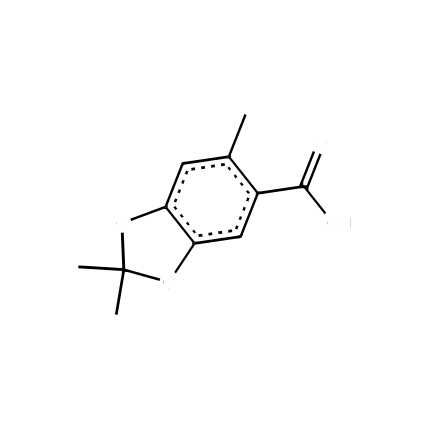 Cc1cc2c(cc1C(=O)O)OC(C)(C)O2